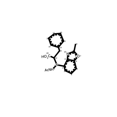 CC(=O)NN(c1cccc2oc(C)nc12)C(Cc1ccccc1)C(=O)O